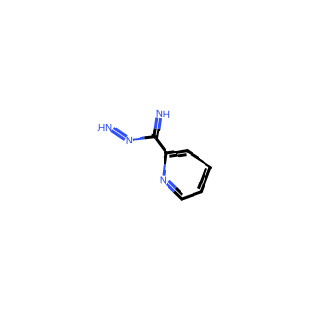 N=NC(=N)c1ccccn1